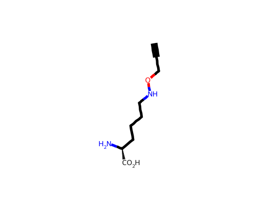 C#CCONCCCC[C@H](N)C(=O)O